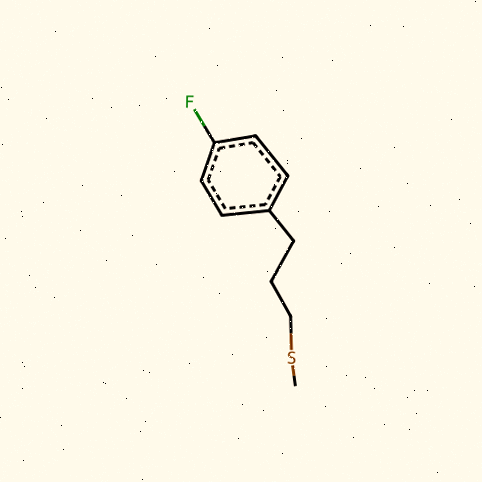 CSCCCc1ccc(F)cc1